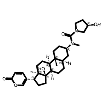 CN(C(=O)N1CC[C@@H](O)C1)[C@@H]1CC[C@]2(C)[C@H](CC[C@@H]3[C@H]2CC[C@]2(C)[C@@H](c4ccc(=O)oc4)CC[C@@]32O)C1